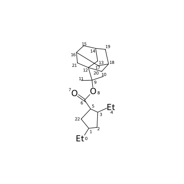 CCC1CC(CC)C(C(=O)OC(C)(C)C23CC4CC(CC(C4)C2)C3)C1